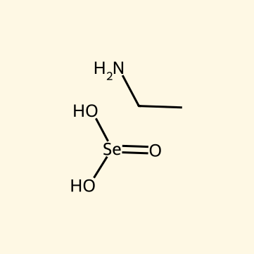 CCN.O=[Se](O)O